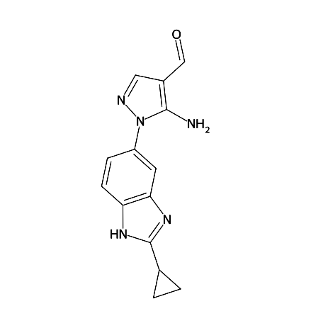 Nc1c(C=O)cnn1-c1ccc2[nH]c(C3CC3)nc2c1